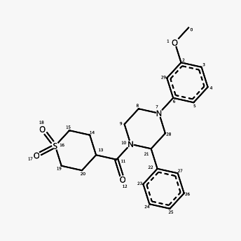 COc1cccc(N2CCN(C(=O)C3CCS(=O)(=O)CC3)C(c3ccccc3)C2)c1